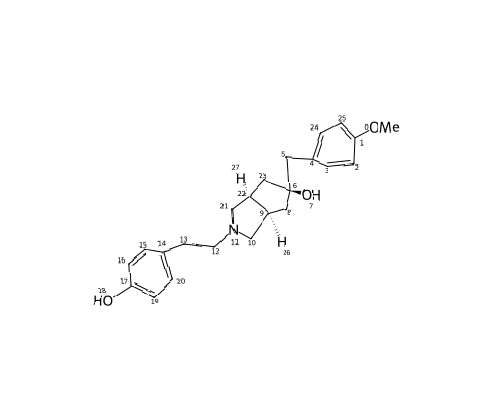 COc1ccc(C[C@]2(O)C[C@H]3CN(CCc4ccc(O)cc4)C[C@H]3C2)cc1